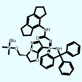 CC(C)(C)[Si](C)(C)OC[C@@H]1COc2c([S@@](=O)(=NC(=O)Nc3c4c(cc5c3CCC5)CCC4)NC(c3ccccc3)(c3ccccc3)c3ccccc3)cnn21